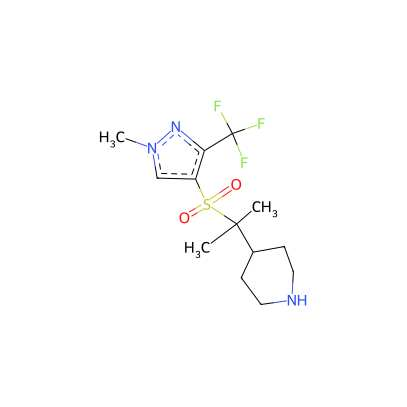 Cn1cc(S(=O)(=O)C(C)(C)C2CCNCC2)c(C(F)(F)F)n1